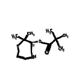 CC(C)(C)C(=O)O[C@@H]1NCCSC1(C)C